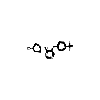 O[C@H]1CC[C@H](Nc2ncncc2Oc2ccc(C(F)(F)F)cc2)CC1